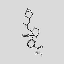 COC1(c2cccc(C(N)=O)c2)C(C)CCCC1CN(C)CC1CC2CC2C1